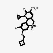 O=C(O)c1cc2c(n(C3CC3)c1=O)-c1cc(Cl)c(OCC3CCC3)cc1S(=O)(=O)C2